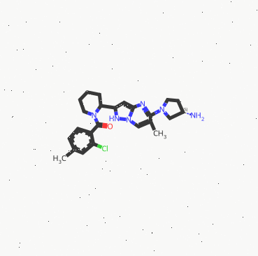 CC1=CN2NC(C3CCCCN3C(=O)c3ccc(C)cc3Cl)C=C2N=C1N1CC[C@H](N)C1